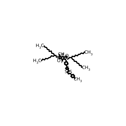 CCCCCCCCCCC(CCCCCCCCCC)CCN1C(=O)c2c(F)c3c(c(F)c2=C1C)C(=O)N(CCC(CCCCCCCCCC)CCCCCCCCCC)C=3c1ccc(-c2cc3sc4cc(-c5ccc(C)cc5)sc4c3s2)cc1